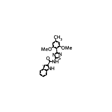 COc1cc(C)cc(OC)c1-c1nsc(NC(=O)c2[c]c3ccccc3[nH]2)n1